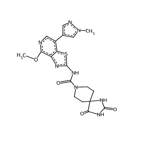 COc1ncc(-c2cnn(C)c2)c2sc(NC(=O)N3CCC4(CC3)NC(=O)NC4=O)nc12